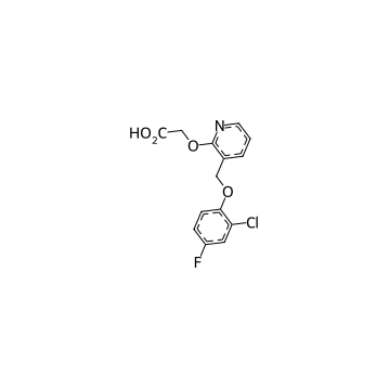 O=C(O)COc1ncccc1COc1ccc(F)cc1Cl